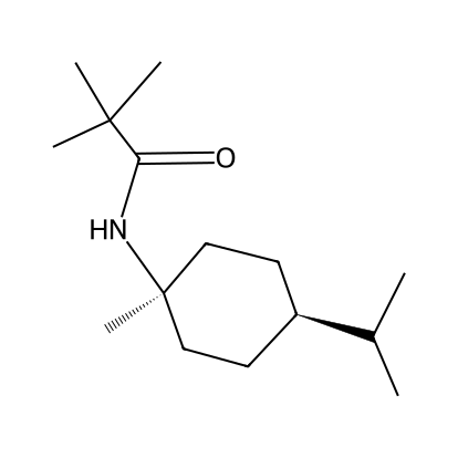 CC(C)[C@H]1CC[C@@](C)(NC(=O)C(C)(C)C)CC1